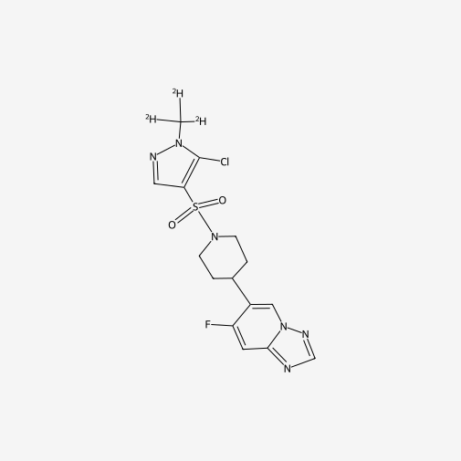 [2H]C([2H])([2H])n1ncc(S(=O)(=O)N2CCC(c3cn4ncnc4cc3F)CC2)c1Cl